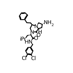 CC(C)C[C@H](C(=O)NCc1ccc(Cl)c(Cl)c1)N1CC(CCc2ccccc2)N2C[C@H](N)C[C@H]2C1=O